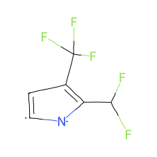 FC(F)C1=C(C(F)(F)F)C=[C][N]1